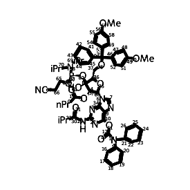 CCCC(=O)O[C@H]1[C@H](n2cnc3c(OC(=O)N(c4ccccc4)c4ccccc4)nc(NC(=O)C(C)C)nc32)O[C@H](COC(c2ccccc2)(c2ccc(OC)cc2)c2ccc(OC)cc2)[C@]1(O)O[P@@](OCCC#N)N(C(C)C)C(C)C